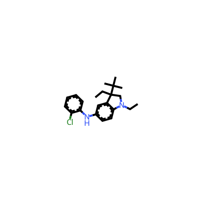 CCN1CC(CC)(C(C)(C)C)c2cc(Nc3ccccc3Cl)ccc21